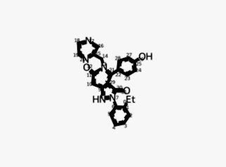 CCc1ccccc1-n1[nH]c2cc(=O)n(Cc3cnccn3)c(-c3ccc(O)cc3)c2c1=O